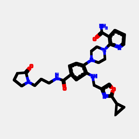 NC(=O)c1cccnc1N1CCN(c2ccc(C(=O)NCCCN3CCCC3=O)cc2NCc2coc(C3CC3)n2)CC1